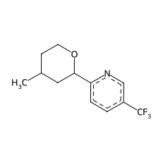 CC1CCOC(c2ccc(C(F)(F)F)cn2)C1